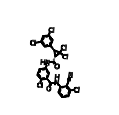 N#Cc1c(Cl)cccc1NC(=O)c1cc(NC(=O)[C@@H]2[C@@H](c3cc(Cl)cc(Cl)c3)C2(Cl)Cl)ccc1Cl